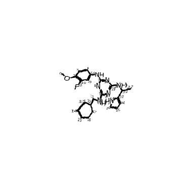 COc1ccc(Nc2nc(NCC3CCCCC3)nc(NC(C)c3ccc[nH]3)n2)cc1F